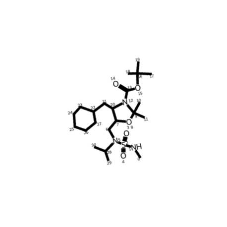 CNS(=O)(=O)N(CC1OC(C)(C)N(C(=O)OC(C)(C)C)C1CC1CCCCC1)C(C)C